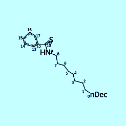 CCCCCCCCCCCCCCCCCCNC(=S)c1ccccc1